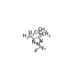 Cc1nn(C(F)F)nc1C(C)(C)C